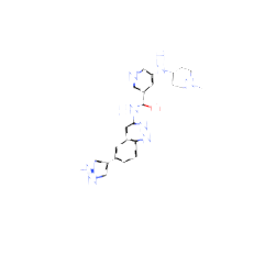 CN1CCC(Nc2cncc(C(=O)Nc3cc4cc(-c5cnn(C)c5)ccc4nn3)c2)CC1